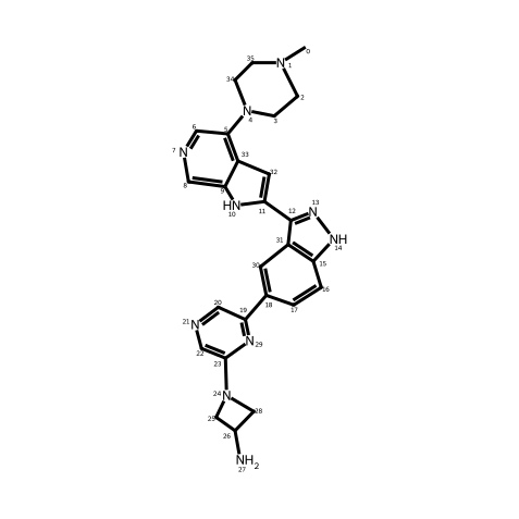 CN1CCN(c2cncc3[nH]c(-c4n[nH]c5ccc(-c6cncc(N7CC(N)C7)n6)cc45)cc23)CC1